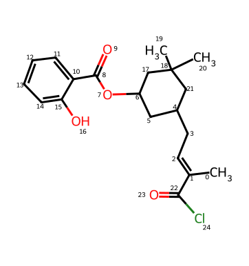 C/C(=C\CC1CC(OC(=O)c2ccccc2O)CC(C)(C)C1)C(=O)Cl